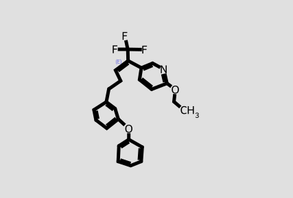 CCOc1ccc(/C(=C\CCc2cccc(Oc3ccccc3)c2)C(F)(F)F)cn1